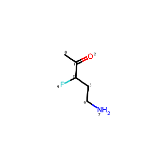 CC(=O)C(F)CCN